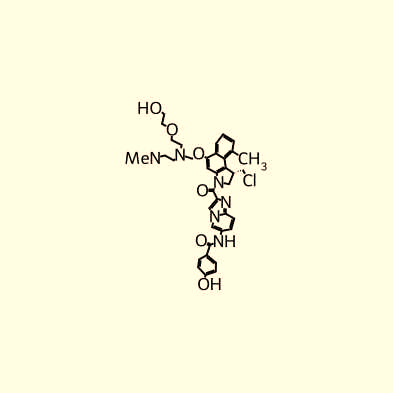 CNCCN(CCOCCO)COc1cc2c(c3c(C)cccc13)[C@H](CCl)CN2C(=O)c1cn2cc(NC(=O)c3ccc(O)cc3)ccc2n1